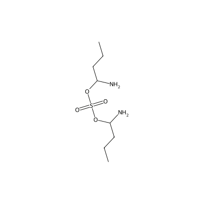 CCCC(N)OS(=O)(=O)OC(N)CCC